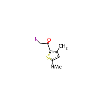 CNc1cc(C)c(C(=O)CI)s1